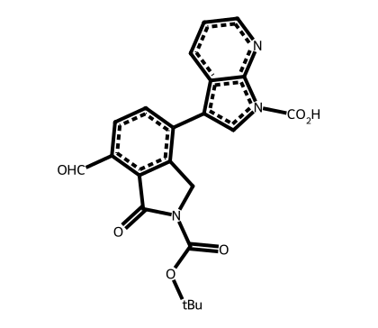 CC(C)(C)OC(=O)N1Cc2c(-c3cn(C(=O)O)c4ncccc34)ccc(C=O)c2C1=O